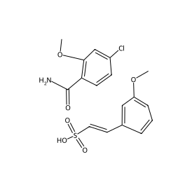 COc1cc(Cl)ccc1C(N)=O.COc1cccc(/C=C/S(=O)(=O)O)c1